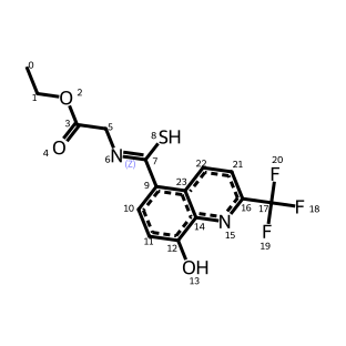 CCOC(=O)C/N=C(\S)c1ccc(O)c2nc(C(F)(F)F)ccc12